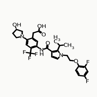 CC(C)c1c(C(=O)Nc2cc(CC(=O)O)c(N3CC[C@@H](O)C3)cc2C(F)(F)F)ccn1CCOc1ccc(F)cc1F